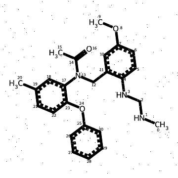 CNCNc1ccc(OC)cc1CN(C(C)=O)c1cc(C)ccc1Oc1ccccc1